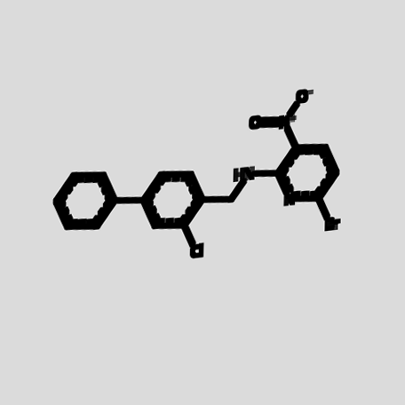 O=[N+]([O-])c1ccc(Br)nc1NCc1ccc(-c2ccccc2)cc1Cl